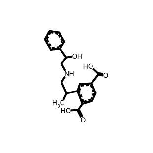 CC(CNCC(O)c1ccccc1)c1cc(C(=O)O)ccc1C(=O)O